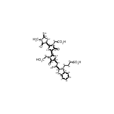 CN1C(=O)/C(=c2\s/c(=c3/sc(=C/C(F)=C4/Sc5ccccc5N4CCCS(=O)(=O)O)c(=O)n3CC(=O)O)c(=O)n2CC(=O)O)SC1=S